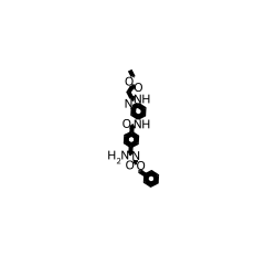 CCOC(=O)Cc1nc2cc(NC(=O)c3ccc(C(N)=NC(=O)OCc4ccccc4)cc3)ccc2[nH]1